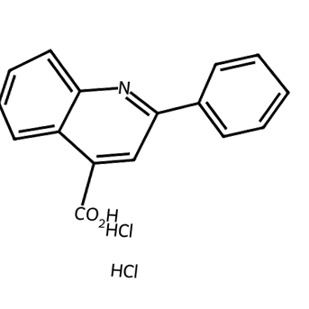 Cl.Cl.O=C(O)c1cc(-c2ccccc2)nc2ccccc12